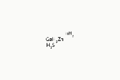 S.[GaH3].[InH3].[Zn]